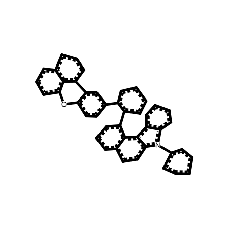 c1ccc(-n2c3ccccc3c3c4c(-c5ccccc5-c5ccc6c(c5)-c5cccc7cccc(c57)O6)cccc4ccc32)cc1